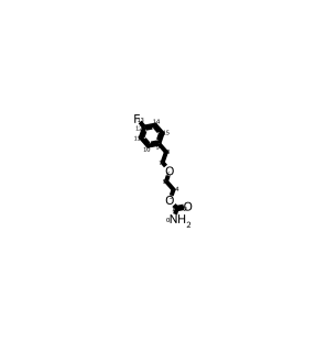 NC(=O)OCCOCCc1ccc(F)cc1